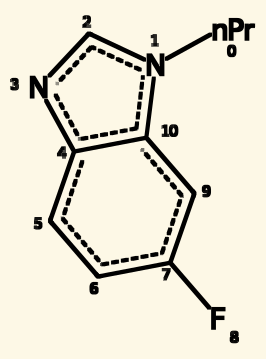 CCCn1cnc2ccc(F)cc21